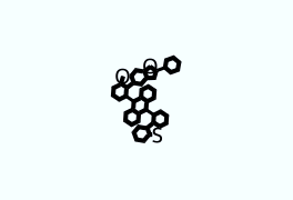 c1ccc(-c2cc3cc4c(cc3o2)oc2cccc(-c3c5ccccc5c(-c5cccc6sc7ccccc7c56)c5ccccc35)c24)cc1